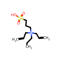 C=CC[N+](CC=C)(CCC)CCCS(=O)(=O)O